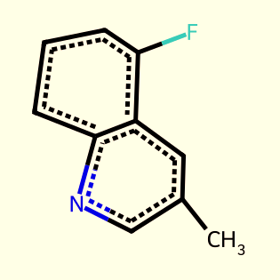 Cc1cnc2cccc(F)c2c1